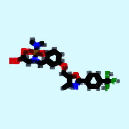 Cc1nc(-c2ccc(C(F)(F)F)cc2)oc1COc1cccc(CN(CC(=O)O)S(=O)(=O)N(C)C)c1